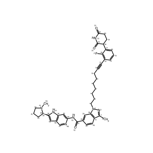 Cc1nn(CCCCCCCC#Cc2cccc(C3CCC(=O)NC3=O)c2F)c2cc(C(=O)Nc3cc4[nH]c([C@H]5CCCN5C)cc4cn3)ccc12